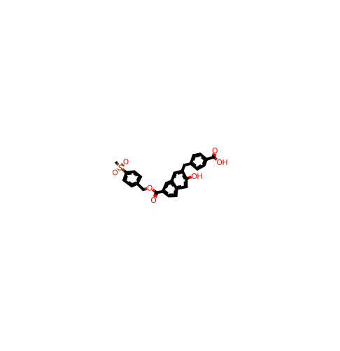 CS(=O)(=O)c1ccc(COC(=O)c2ccc3cc(O)c(Cc4ccc(C(=O)O)cc4)cc3c2)cc1